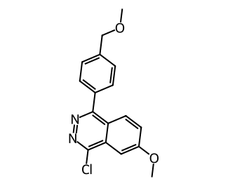 COCc1ccc(-c2nnc(Cl)c3cc(OC)ccc23)cc1